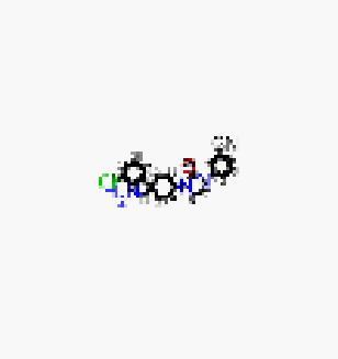 N#Cc1cccc(N2CCN(C3CCC(CN)(c4cccc(Cl)c4)CC3)C2=O)c1